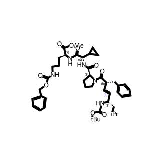 COC(=O)[C@H](CCCNC(=O)OCc1ccccc1)NC(=O)[C@@H](NC(=O)[C@@H]1CCCN1C(=O)[C@@H](/C=C/[C@H](CC(C)C)NC(=O)OC(C)(C)C)Cc1ccccc1)C1CC1